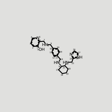 Oc1cccnc1CNCc1ccc(CN[C@@H]2CCCC[C@@H]2NCc2ncc[nH]2)cc1